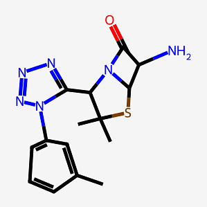 Cc1cccc(-n2nnnc2C2N3C(=O)C(N)C3SC2(C)C)c1